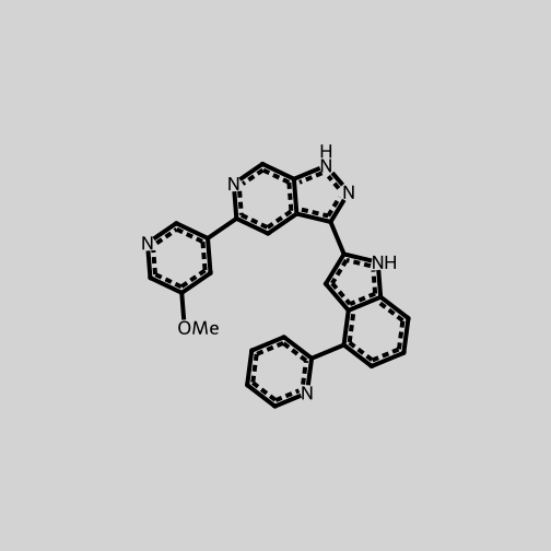 COc1cncc(-c2cc3c(-c4cc5c(-c6ccccn6)cccc5[nH]4)n[nH]c3cn2)c1